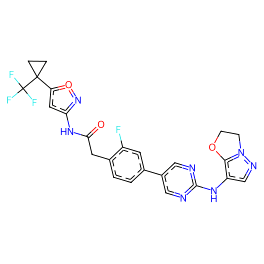 O=C(Cc1ccc(-c2cnc(Nc3cnn4c3OCC4)nc2)cc1F)Nc1cc(C2(C(F)(F)F)CC2)on1